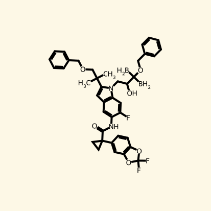 BC(B)(OCc1ccccc1)C(O)Cn1c(C(C)(C)COCc2ccccc2)cc2cc(NC(=O)C3(c4ccc5c(c4)OC(F)(F)O5)CC3)c(F)cc21